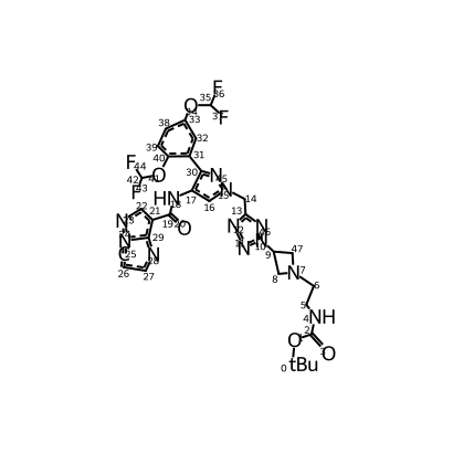 CC(C)(C)OC(=O)NCCN1CC(n2nnc(Cn3cc(NC(=O)c4cnn5cccnc45)c(-c4cc(OC(F)F)ccc4OC(F)F)n3)n2)C1